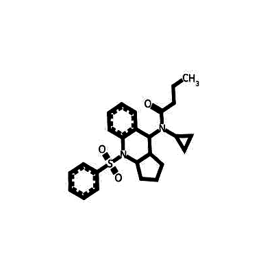 CCCC(=O)N(C1CC1)C1c2ccccc2N(S(=O)(=O)c2ccccc2)C2CCCC12